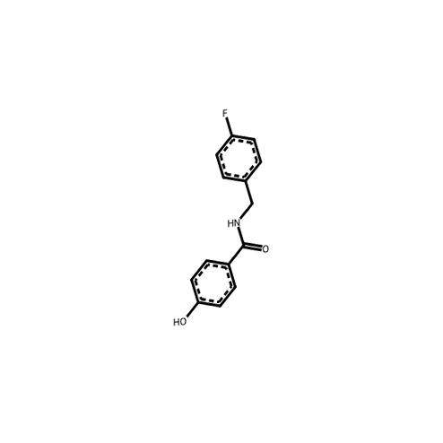 O=C(NCc1ccc(F)cc1)c1ccc(O)cc1